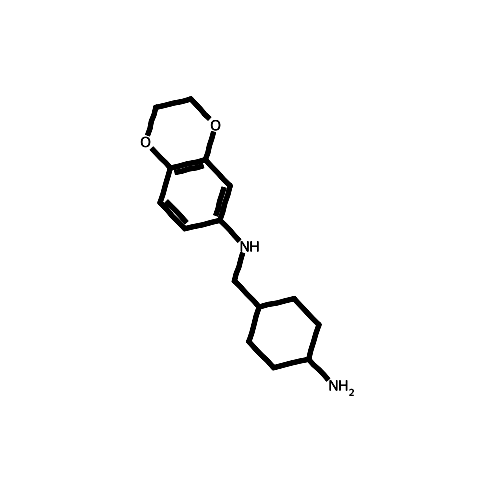 NC1CCC(CNc2ccc3c(c2)OCCO3)CC1